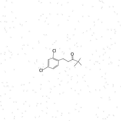 CC(C)(C)C(=O)CCc1ccc(Cl)cc1Cl